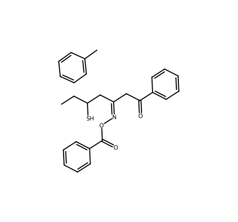 CCC(S)CC(CC(=O)c1ccccc1)=NOC(=O)c1ccccc1.Cc1ccccc1